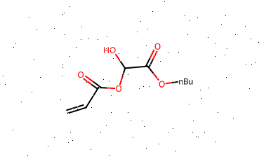 C=CC(=O)OC(O)C(=O)OCCCC